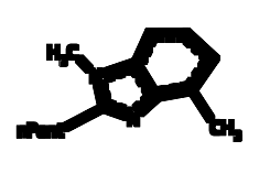 CCCCCc1nc2c(C)cccc2n1C